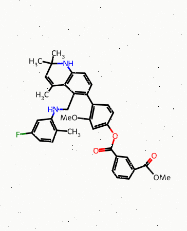 COC(=O)c1cccc(C(=O)Oc2ccc(-c3ccc4c(c3CNc3cc(F)ccc3C)C(C)=CC(C)(C)N4)c(OC)c2)c1